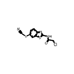 N#CSc1ccc2nc(NC(=O)CCl)sc2c1